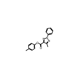 Cc1ccc(OC(=O)c2nn(-c3ccccc3)nc2C)cc1